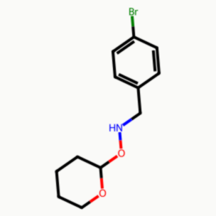 Brc1ccc(CNOC2CCCCO2)cc1